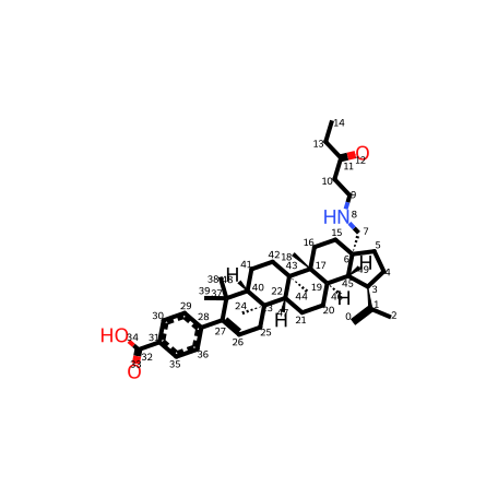 C=C(C)[C@@H]1CC[C@]2(CNCCC(=O)CC)CC[C@]3(C)[C@H](CC[C@@H]4[C@@]5(C)CC=C(c6ccc(C(=O)O)cc6)C(C)(C)[C@@H]5CC[C@]43C)[C@@H]12